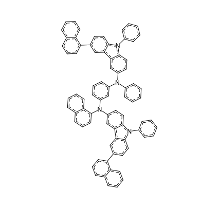 c1ccc(N(c2cccc(N(c3ccc4c(c3)c3cc(-c5cccc6ccccc56)ccc3n4-c3ccccc3)c3cccc4ccccc34)c2)c2ccc3c(c2)c2cc(-c4cccc5ccccc45)ccc2n3-c2ccccc2)cc1